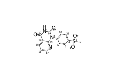 CS(=O)(=O)c1ccc(-n2c(=O)[nH]c(=O)c3cccnc32)cc1